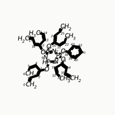 C=C/C=C(\C=C/C)O[PH]1=NP(OC(/C=C\C)=C/C=C)(OC(/C=C\C)=C/C=C)=NP(OC(/C=C\C)=C/C=C)(Oc2ccccc2)=N1